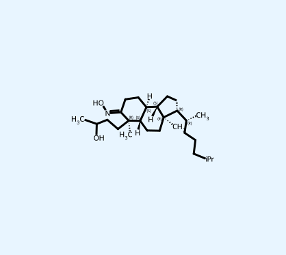 CC(C)CCC[C@@H](C)[C@H]1CC[C@H]2[C@@H]3CCC(=NO)[C@](C)(CCC(C)O)[C@H]3CC[C@]12C